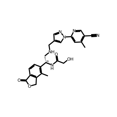 Cc1cc(-n2cc(CNC[C@H](NC(=O)CO)c3ccc4c(c3C)COC4=O)cn2)ncc1C#N